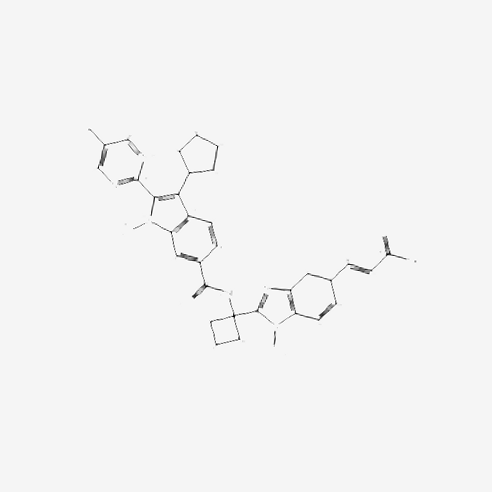 Cn1c(C2(NC(=O)c3ccc4c(C5CCCC5)c(-c5ncc(Cl)cn5)n(C)c4c3)CCC2)nc2c1C=CC(/C=C/C(=O)O)C2